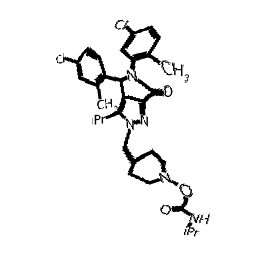 Cc1cc(Cl)ccc1C1c2c(nn(CC3CCN(OC(=O)NC(C)C)CC3)c2C(C)C)C(=O)N1c1cc(Cl)ccc1C